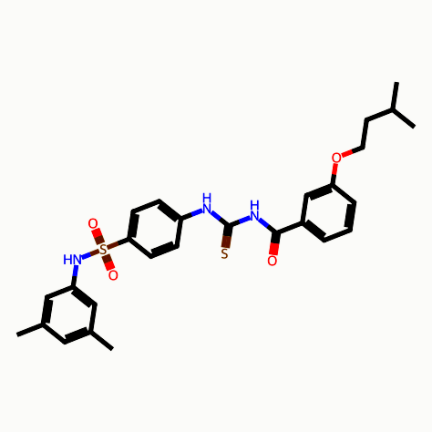 Cc1cc(C)cc(NS(=O)(=O)c2ccc(NC(=S)NC(=O)c3cccc(OCCC(C)C)c3)cc2)c1